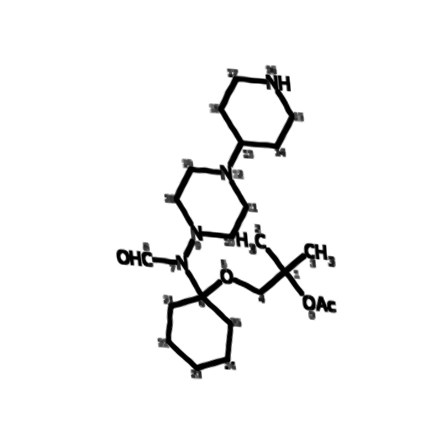 CC(=O)OC(C)(C)COC1(N(C=O)N2CCN(C3CCNCC3)CC2)CCCCC1